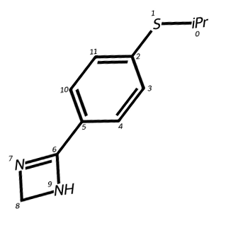 CC(C)Sc1ccc(C2=NCN2)cc1